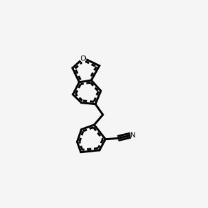 N#Cc1ccccc1Cc1ccc2cocc2c1